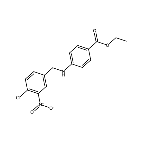 CCOC(=O)c1ccc(NCc2ccc(Cl)c([N+](=O)[O-])c2)cc1